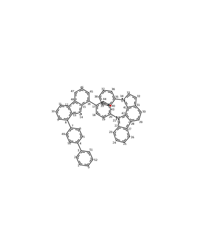 c1ccc(-c2ccc(-c3cccc4c3sc3c(-c5ccc(-n6c7ccccc7c7ccc8ccn(-c9ccccc9)c8c76)cc5)cccc34)cc2)cc1